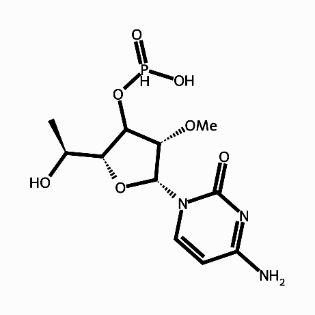 CO[C@H]1C(O[PH](=O)O)[C@@H]([C@H](C)O)O[C@H]1n1ccc(N)nc1=O